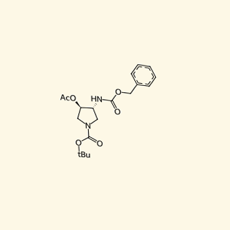 CC(=O)O[C@@H]1CN(C(=O)OC(C)(C)C)C[C@H]1NC(=O)OCc1ccccc1